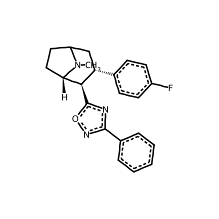 CN1C2CC[C@H]1[C@H](c1nc(-c3ccccc3)no1)[C@@H](c1ccc(F)cc1)C2